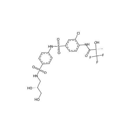 C[C@@](O)(C(=O)Nc1ccc(S(=O)(=O)Nc2ccc(S(=O)(=O)NC[C@@H](O)CO)cc2)cc1Cl)C(F)(F)F